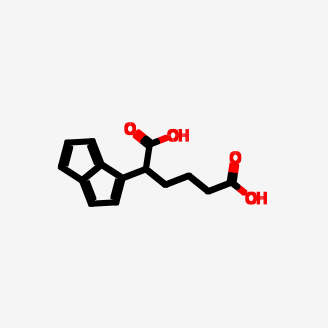 O=C(O)CCCC(C(=O)O)C1=CC=C2C=CC=C21